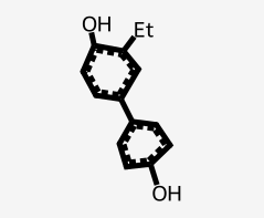 CCc1cc(-c2ccc(O)cc2)ccc1O